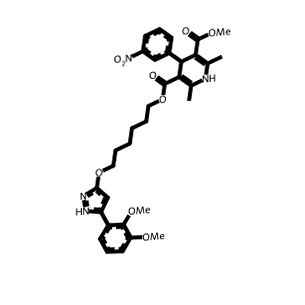 COC(=O)C1=C(C)NC(C)=C(C(=O)OCCCCCCOc2cc(-c3cccc(OC)c3OC)[nH]n2)C1c1cccc([N+](=O)[O-])c1